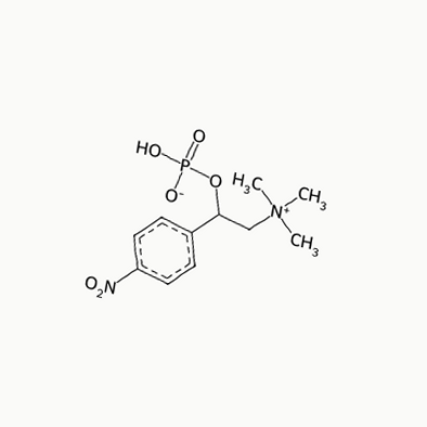 C[N+](C)(C)CC(OP(=O)([O-])O)c1ccc([N+](=O)[O-])cc1